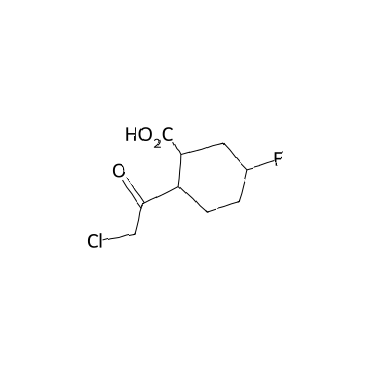 O=C(O)C1CC(F)CCC1C(=O)CCl